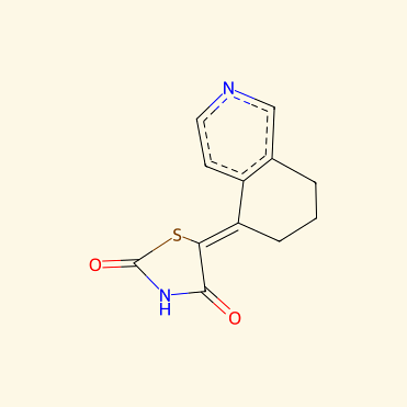 O=C1NC(=O)/C(=C2\CCCc3cnccc32)S1